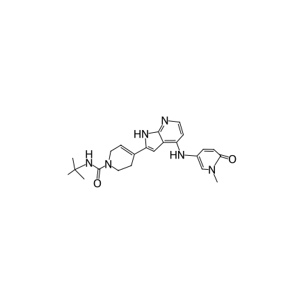 Cn1cc(Nc2ccnc3[nH]c(C4=CCN(C(=O)NC(C)(C)C)CC4)cc23)ccc1=O